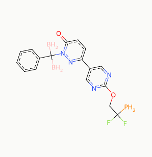 BC(B)(c1ccccc1)n1nc(-c2cnc(OCC(F)(F)P)nc2)ccc1=O